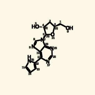 OC[C@@H]1C[C@@H](O)[C@H](n2cnc3c(-c4ccc[nH]4)ncnc32)O1